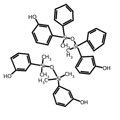 C[Si](C)(O[Si](C)(C)c1cccc(O)c1)c1cccc(O)c1.C[Si](O[Si](C)(c1ccccc1)c1cccc(O)c1)(c1ccccc1)c1cccc(O)c1